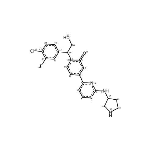 O=c1cc(-c2ccnc(NC3CCNC3)n2)ccn1C(CO)c1ccc(Cl)c(F)c1